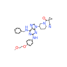 COCCOc1ccc(Nc2nc(NCc3ccccc3)c3ncn(C4CCCN(C(=O)C5(C#N)CC5)C4)c3n2)cc1